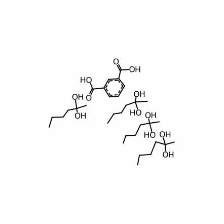 CCCCC(C)(O)O.CCCCC(C)(O)O.CCCCC(C)(O)O.CCCCC(C)(O)O.O=C(O)c1cccc(C(=O)O)c1